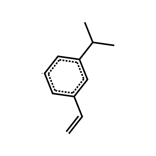 C=Cc1c[c]cc(C(C)C)c1